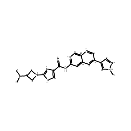 CN(C)C1CN(c2nc(C(=O)Nc3cc4cc(-c5cnn(C)c5)cnc4cn3)co2)C1